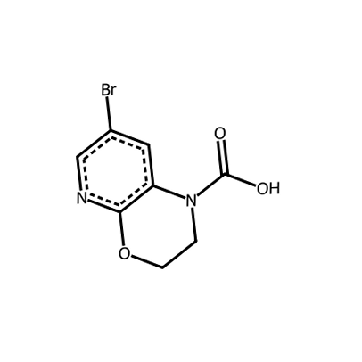 O=C(O)N1CCOc2ncc(Br)cc21